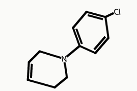 Clc1ccc(N2CC=CCC2)cc1